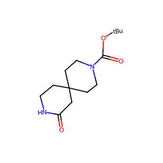 CC(C)(C)OC(=O)N1CCC2(CCNC(=O)C2)CC1